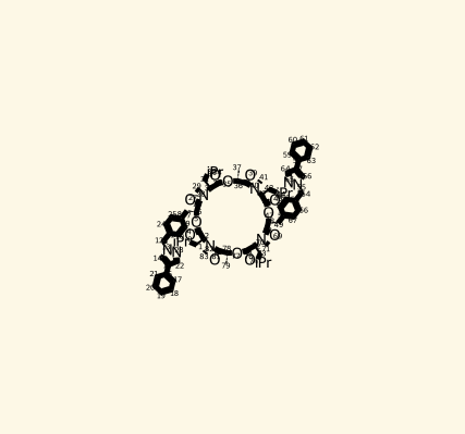 CC(C)C[C@H]1C(=O)O[C@H](Cc2ccc(Cn3cc(-c4ccccc4)cn3)cc2)C(=O)N(C)[C@@H](CC(C)C)C(=O)O[C@H](C)C(=O)N(C)[C@@H](CC(C)C)C(=O)O[C@H](Cc2ccc(Cn3cc(-c4ccccc4)cn3)cc2)C(=O)N(C)[C@@H](CC(C)C)C(=O)O[C@H](C)C(=O)N1C